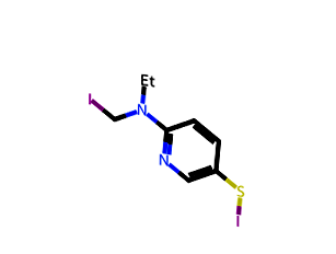 CCN(CI)c1ccc(SI)cn1